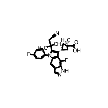 CC(C)(CC#N)c1c([C@H]2C[C@](C)(C(=O)O)C2)c2c(F)c3[nH]ncc3cc2n1-c1ccc(F)cc1